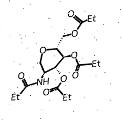 CCC(=O)N[C@H]1[CH]O[C@H](COC(=O)CC)[C@@H](OC(=O)CC)[C@@H]1OC(=O)CC